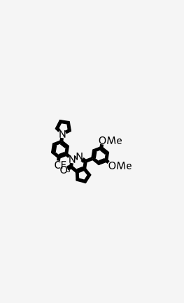 COc1cc(OC)cc(-c2nn(-c3cc(N4CCCC4)ccc3C(F)(F)F)c(=O)c3c2CCC3)c1